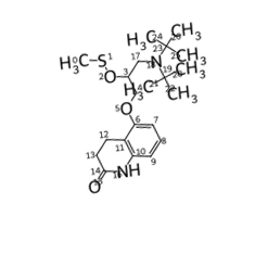 CSOC(COc1cccc2c1CCC(=O)N2)CN(C(C)(C)C)C(C)(C)C